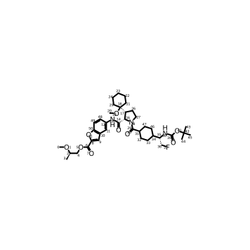 CO[C@H](C)COC(=O)c1cc2cc(NC(=O)[C@@H]3[C@H](C4(OC)CCCCC4)CCN3C(=O)C3CCC([C@@H](CF)NC(=O)OC(C)(C)C)CC3)ccc2o1